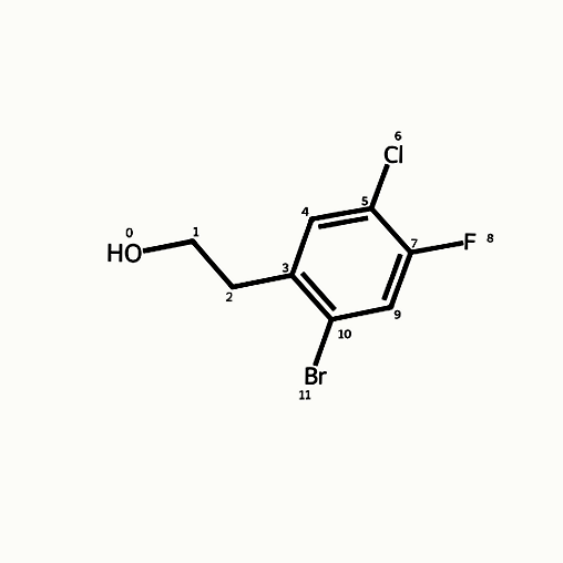 OCCc1cc(Cl)c(F)cc1Br